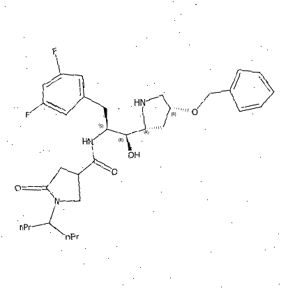 CCCC(CCC)N1CC(C(=O)N[C@@H](Cc2cc(F)cc(F)c2)[C@H](O)[C@H]2C[C@@H](OCc3ccccc3)CN2)CC1=O